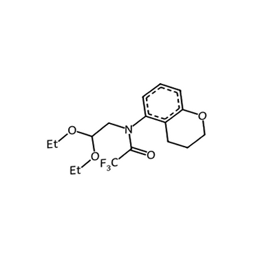 CCOC(CN(C(=O)C(F)(F)F)c1cccc2c1CCCO2)OCC